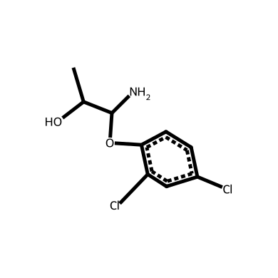 CC(O)C(N)Oc1ccc(Cl)cc1Cl